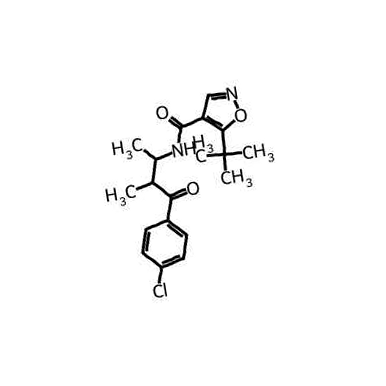 CC(NC(=O)c1cnoc1C(C)(C)C)C(C)C(=O)c1ccc(Cl)cc1